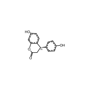 O=C1C[C@H](c2ccc(O)cc2)c2ccc(O)cc2O1